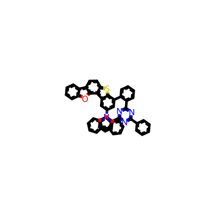 c1ccc(-c2nc(-c3ccccc3)nc(-c3ccccc3-c3cc(-n4c5ccccc5c5ccccc54)cc4c3sc3ccc5c6ccccc6oc5c34)n2)cc1